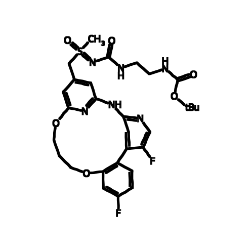 CC(C)(C)OC(=O)NCCNC(=O)N=S(C)(=O)Cc1cc2nc(c1)OCCCOc1cc(F)ccc1-c1cc(ncc1F)N2